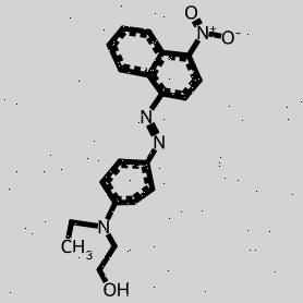 CCN(CCO)c1ccc(N=Nc2ccc([N+](=O)[O-])c3ccccc23)cc1